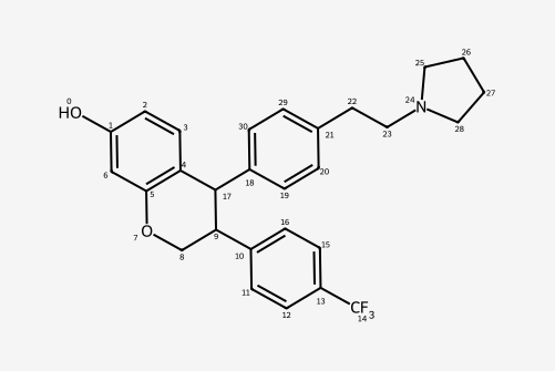 Oc1ccc2c(c1)OCC(c1ccc(C(F)(F)F)cc1)C2c1ccc(CCN2CCCC2)cc1